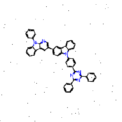 c1ccc(-c2nc(-c3ccccc3)nc(-c3ccc(-n4c5ccccc5c5cc(-c6cnc7c(c6)c6ccccc6n7-c6ccccc6)ccc54)cc3)n2)cc1